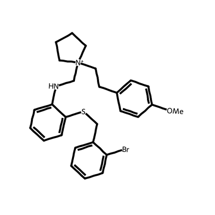 COc1ccc(CC[N+]2(CNc3ccccc3SCc3ccccc3Br)CCCC2)cc1